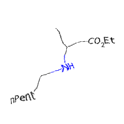 CCCCCCNC(C)C(=O)OCC